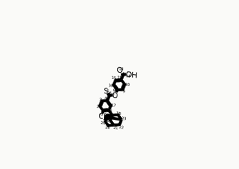 Cc1ccc(C(=S)Oc2ccc(C(=O)O)cc2)cc1C12CC3CC(CC(C3)C1)C2